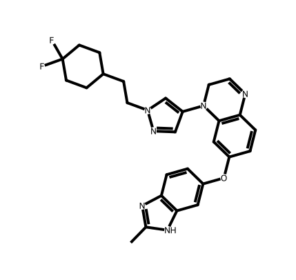 Cc1nc2ccc(Oc3ccc4c(c3)N(c3cnn(CCC5CCC(F)(F)CC5)c3)CC=N4)cc2[nH]1